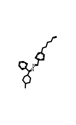 C=CCCCCc1ccc(C=NN=C(c2ccccc2)C2CCC(C)CC2)cc1